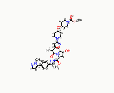 CC(C)C(C(=O)N1C[C@H](O)C[C@H]1C(=O)N[C@@H](C)c1ccc(-c2ccnn2C)cc1)c1cc(N2CCC(OC3CCN(C(=O)OC(C)(C)C)CC3)CC2)no1